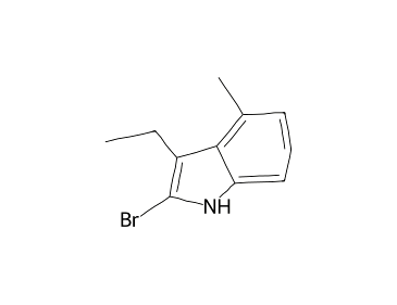 CCc1c(Br)[nH]c2cccc(C)c12